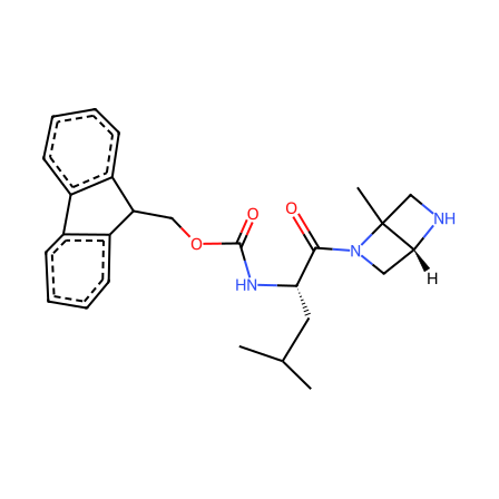 CC(C)C[C@H](NC(=O)OCC1c2ccccc2-c2ccccc21)C(=O)N1C[C@H]2NCC21C